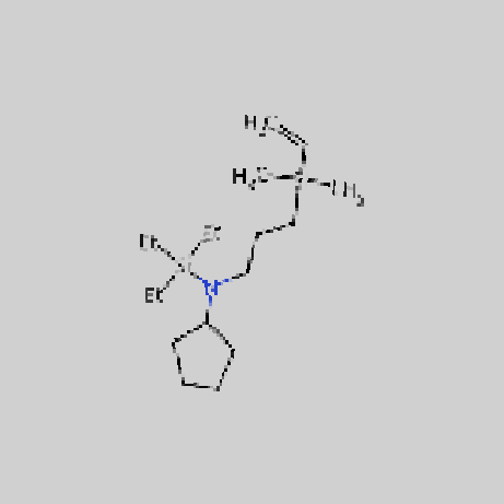 C=C[Si](C)(C)CCCN(C1CCCC1)[Si](CC)(CC)CC